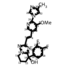 COc1cc(/C=C/c2nc3n(n2)CCCC3(O)c2ccc(F)c(F)c2)cnc1-n1cnc(C)c1